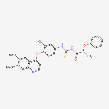 COc1cc2nccc(Oc3ccc(NC(=S)NC(=O)C(C)Oc4ccccc4)cc3Cl)c2cc1OC